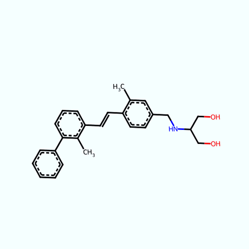 Cc1cc(CNC(CO)CO)ccc1/C=C/c1cccc(-c2ccccc2)c1C